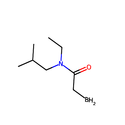 BCC(=O)N(CC)CC(C)C